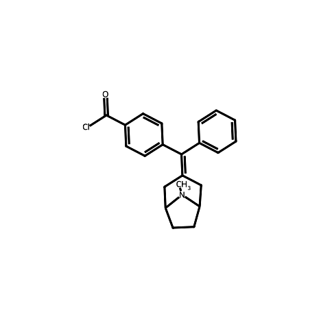 CN1C2CCC1CC(=C(c1ccccc1)c1ccc(C(=O)Cl)cc1)C2